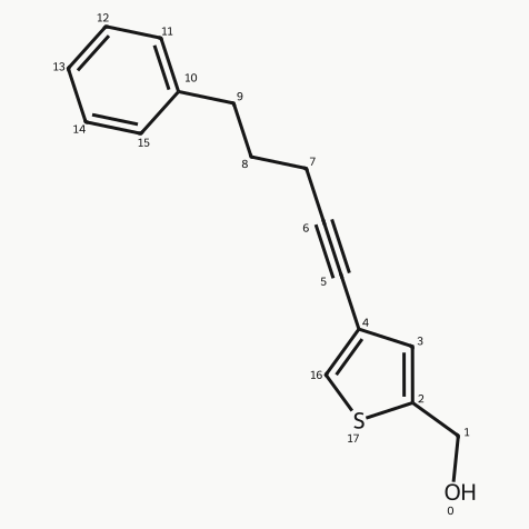 OCc1cc(C#CCCCc2ccccc2)cs1